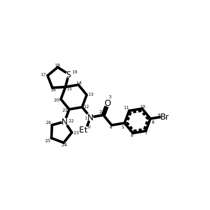 CCN(C(=O)Cc1ccc(Br)cc1)C1CCC2(CCCS2)CC1N1CCCC1